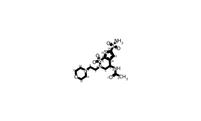 CC(=O)NC1CN(CCN2CCOCC2)S(=O)(=O)c2sc(S(N)(=O)=O)cc21